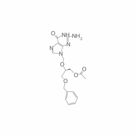 CC(=O)OC[C@@H](COCc1ccccc1)OCn1cnc2c(=O)[nH]c(N)nc21